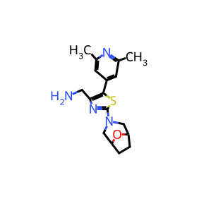 Cc1cc(-c2sc(N3CC4CCC(C3)O4)nc2CN)cc(C)n1